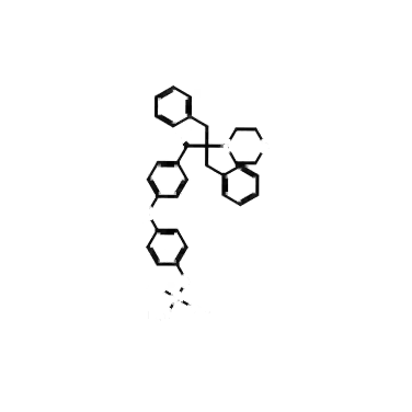 C[Si](C)(C)Oc1ccc(Sc2ccc(C(=O)C(Cc3ccccc3)(Cc3ccccc3)N3CCOCC3)cc2)cc1